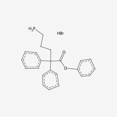 Br.O=C(Oc1ccccc1)C(CCCP)(c1ccccc1)c1ccccc1